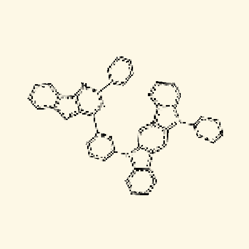 c1ccc(-c2nc(-c3cccc(-n4c5ccccc5c5cc6c(cc54)c4ccccc4n6-c4ccccc4)c3)c3sc4ccccc4c3n2)cc1